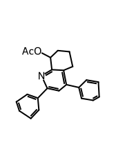 CC(=O)OC1CCCc2c(-c3ccccc3)cc(-c3ccccc3)nc21